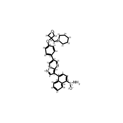 N[S+]([O-])c1ccc(-c2cnn3cc(-c4ccc(OC5(CN6CCCCC6)COC5)cc4)cnc23)c2ccccc12